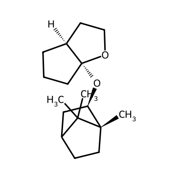 CC1(C)C2CC[C@@]1(C)[C@H](O[C@]13CCC[C@H]1CCO3)C2